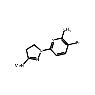 CNC1=NN(c2ccc(Br)c(C)n2)CC1